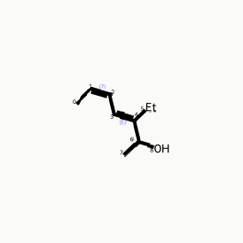 C/C=C\C=C(/CC)C(C)O